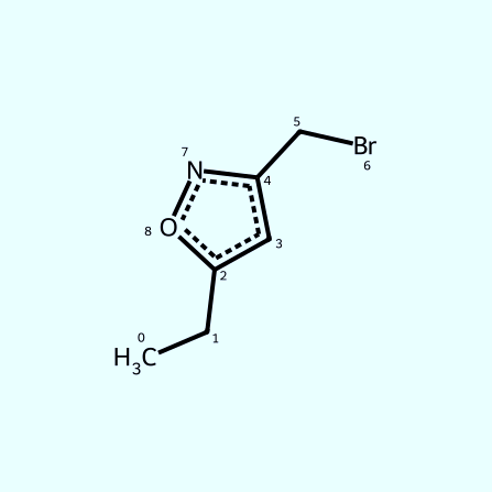 CCc1cc(CBr)no1